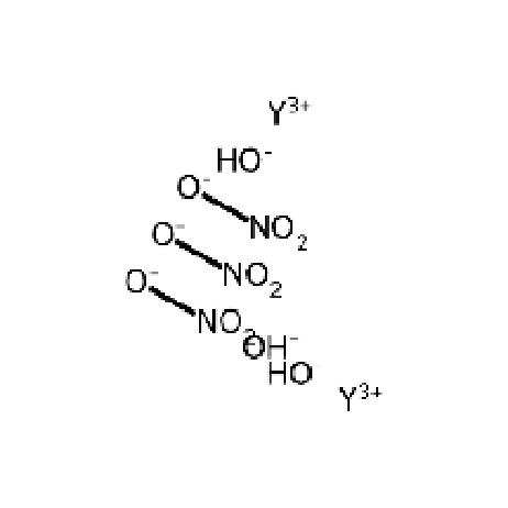 O=[N+]([O-])[O-].O=[N+]([O-])[O-].O=[N+]([O-])[O-].[OH-].[OH-].[OH-].[Y+3].[Y+3]